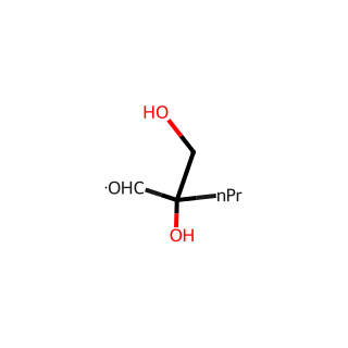 CCCC(O)([C]=O)CO